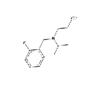 CC(C)N(CCO)Cc1ccccc1F